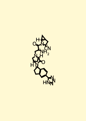 N#C[C@@H]1CC2C[C@@H]2N1C(=O)[C@@H](N)CN1C[C@@H]2C[C@H]1C(=O)N2[C@@H]1CCc2cc(-c3nnn[nH]3)ccc21